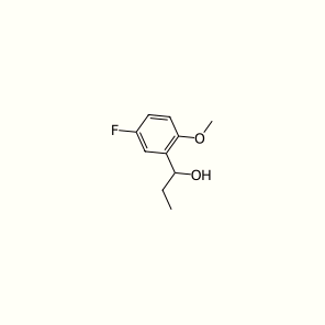 CCC(O)c1cc(F)ccc1OC